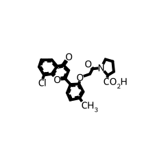 Cc1ccc(-c2cc(=O)c3cccc(Cl)c3o2)c(OCC(=O)N2CCCC2C(=O)O)c1